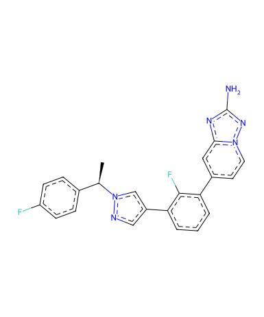 C[C@H](c1ccc(F)cc1)n1cc(-c2cccc(-c3ccn4nc(N)nc4c3)c2F)cn1